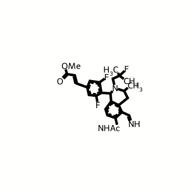 COC(=O)/C=C/c1cc(F)c(C2c3ccc(NC(C)=O)c(C=N)c3CC(C)N2CC(C)(C)F)c(F)c1